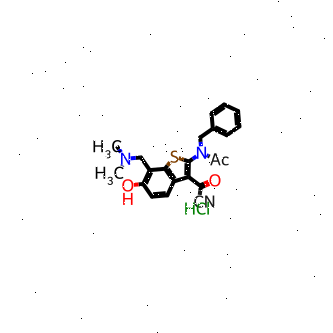 CC(=O)N(Cc1ccccc1)c1sc2c(CN(C)C)c(O)ccc2c1C(=O)C#N.Cl